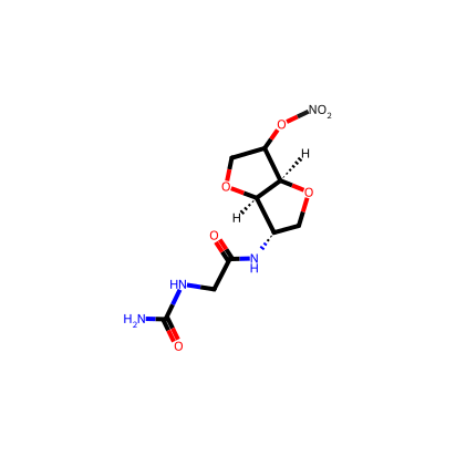 NC(=O)NCC(=O)N[C@H]1CO[C@@H]2C(O[N+](=O)[O-])CO[C@H]12